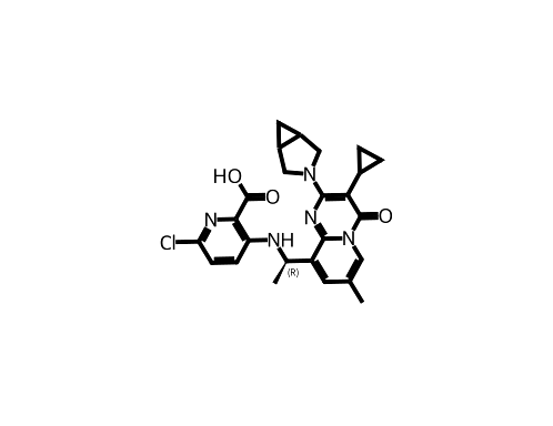 Cc1cc([C@@H](C)Nc2ccc(Cl)nc2C(=O)O)c2nc(N3CC4CC4C3)c(C3CC3)c(=O)n2c1